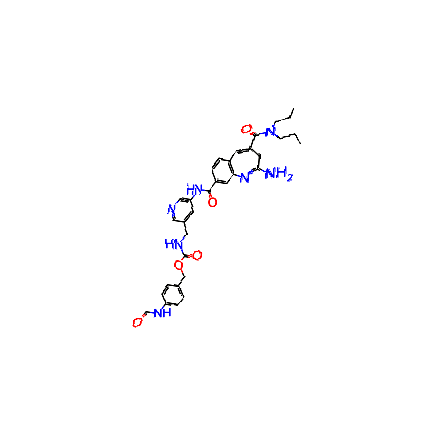 CCCN(CCC)C(=O)C1=Cc2ccc(C(=O)Nc3cncc(CNC(=O)OCc4ccc(NC=O)cc4)c3)cc2N=C(N)C1